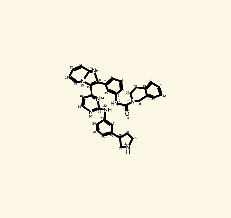 O=C(Nc1cccc(-c2nc3ccccn3c2-c2ccnc(Nc3cccc(C4CCNC4)c3)n2)c1)N1CCc2ccccc2C1